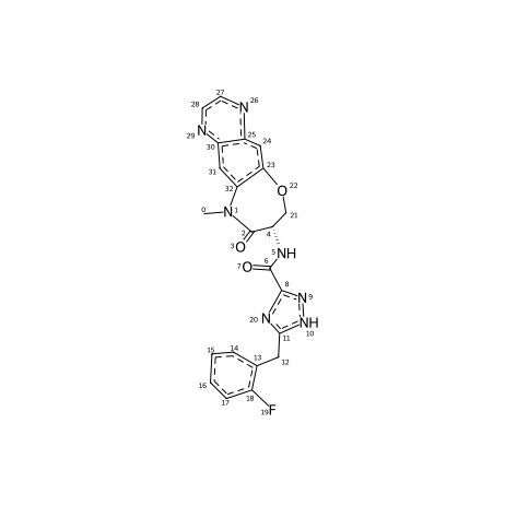 CN1C(=O)[C@@H](NC(=O)c2n[nH]c(Cc3ccccc3F)n2)COc2cc3nccnc3cc21